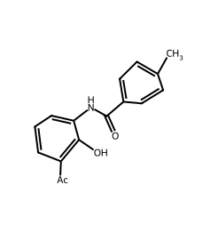 CC(=O)c1cccc(NC(=O)c2ccc(C)cc2)c1O